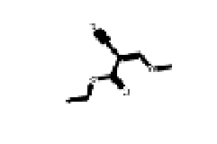 CCOC(=O)/C(C#N)=C\OC